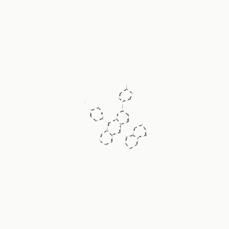 FC(F)(F)Oc1ccc(-c2c3ccccc3c(-c3cccc4ccccc34)c3ccc(-c4ccc(C(F)(F)F)cc4)cc23)cc1